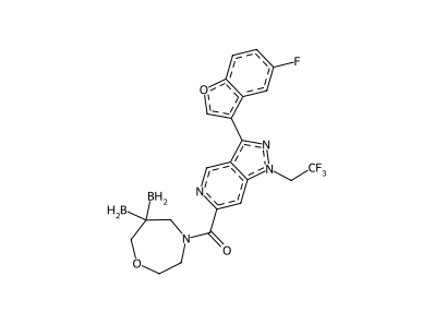 BC1(B)COCCN(C(=O)c2cc3c(cn2)c(-c2coc4ccc(F)cc24)nn3CC(F)(F)F)C1